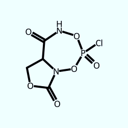 O=C1NOP(=O)(Cl)ON2C(=O)OCC12